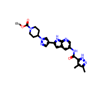 Cc1n[nH]c(C(=O)Nc2cnc3[nH]c(-c4cnn(C5CCN(C(=O)OC(C)(C)C)CC5)c4)cc3c2)c1C